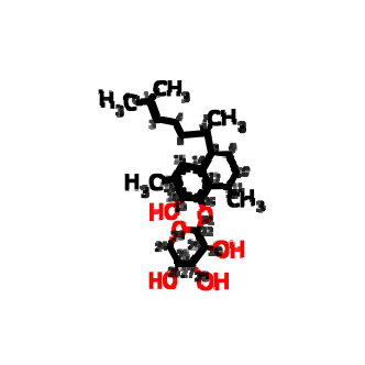 CC(C)=CCC[C@H](C)[C@H]1CC[C@H](C)c2c1cc(C)c(O)c2O[C@@H]1OC[C@@H](O)[C@@H](O)[C@@H]1O